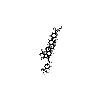 CCOC(=O)C1CC=C(C2=CC[C@]3(C)[C@H]4CC[C@@H]5C6=C(C(C)C)C(=O)C[C@]6(NCCN6CCC(S(C)(=O)=O)CC6)CC[C@@]5(C)[C@]4(C)CC[C@H]3C2(C)C)CC1